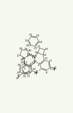 Fc1ccc(P2c3ccc(F)cc3C3CCC3N2P2[C@@H](c3ccccc3)CC[C@@H]2c2ccccc2)c(F)c1